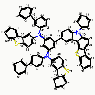 c1ccc(-c2ccc(N(c3cc(-c4ccc5c(c4)c4c6sc7ccccc7c6ccc4n5-c4ccccc4)cc(N(c4cccc(-c5ccccc5)c4)c4ccc5sc6ccccc6c5c4)c3)c3ccc4sc5ccccc5c4c3)cc2)cc1